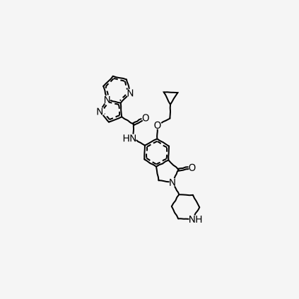 O=C(Nc1cc2c(cc1OCC1CC1)C(=O)N(C1CCNCC1)C2)c1cnn2cccnc12